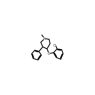 CN1CCC(Oc2ccccc2Cl)C(c2ccccc2)C1